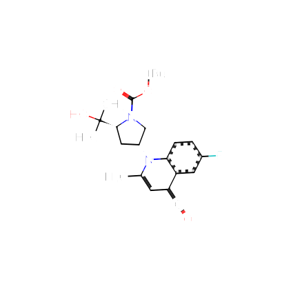 CC1=CC(=C=O)c2cc(F)ccc2N1[C@@H]1C[C@@H](C(C)(C)O)N(C(=O)OC(C)(C)C)C1